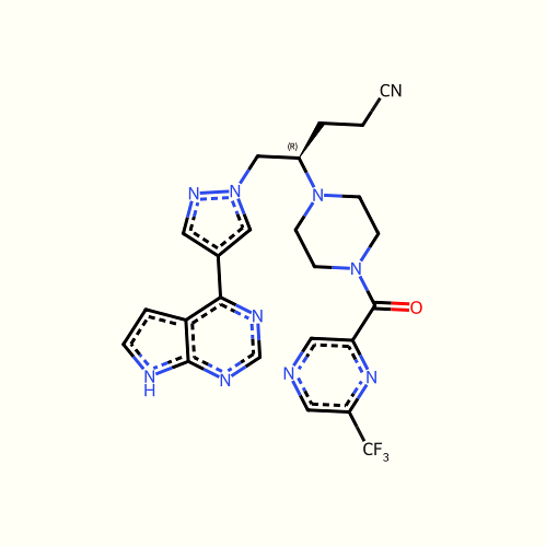 N#CCC[C@H](Cn1cc(-c2ncnc3[nH]ccc23)cn1)N1CCN(C(=O)c2cncc(C(F)(F)F)n2)CC1